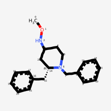 CONC1CCN(Cc2ccccc2)[C@H](Cc2ccccc2)C1